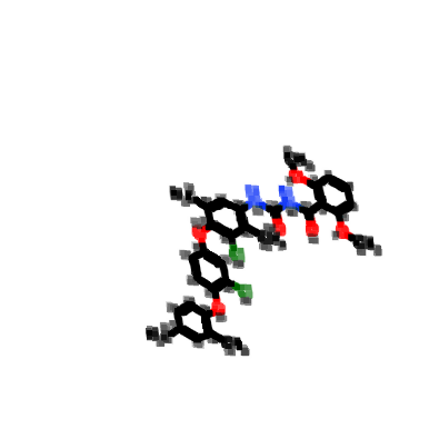 COc1cccc(OC)c1C(=O)NC(=O)Nc1cc(C)c(Oc2ccc(Oc3ccc(C)cc3C)c(Cl)c2)c(Cl)c1C